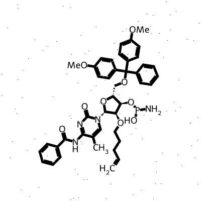 C=CCCCO[C@@H]1[C@H](OP(N)O)[C@@H](COC(c2ccccc2)(c2ccc(OC)cc2)c2ccc(OC)cc2)O[C@H]1n1cc(C)c(NC(=O)c2ccccc2)nc1=O